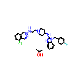 CC(C)O.Fc1ccc(Cn2c(NC3CCN(CCNN4Cc5cccc(Cl)c5C=N4)CC3)nc3ccccc32)cc1